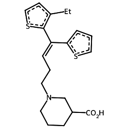 CCc1ccsc1C(=CCCN1CCCC(C(=O)O)C1)c1cccs1